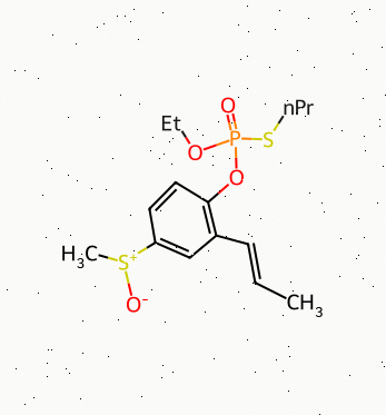 CC=Cc1cc([S+](C)[O-])ccc1OP(=O)(OCC)SCCC